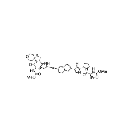 COC(=O)N[C@H](C(=O)N1CCC[C@H]1c1ncc(-c2ccc3cc(C#Cc4cnc([C@@H]5CSC6(CCOCC6)N5C(=O)[C@@H](NC(=O)OC)C(C)C)[nH]4)ccc3c2)[nH]1)C(C)C